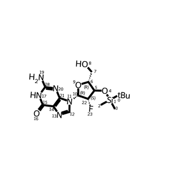 CC(C)(C)[Si](C)(C)OC1[C@@H](CO)O[C@@H](n2cnc3c(=O)[nH]c(N)nc32)[C@H]1F